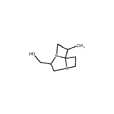 CC1CN2C(CO)CN3CCC132